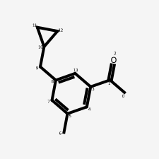 CC(=O)c1cc(C)cc(CC2CC2)c1